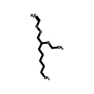 C=COOCC(CCCCCC)OCC